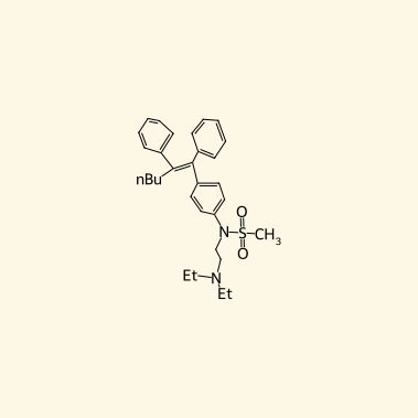 CCCCC(=C(c1ccccc1)c1ccc(N(CCN(CC)CC)S(C)(=O)=O)cc1)c1ccccc1